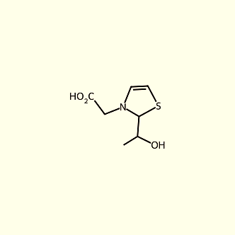 CC(O)C1SC=CN1CC(=O)O